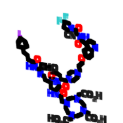 COC(=O)C[C@H](NC(=O)[C@H](CCCC/N=C(\C)NC(=O)CCCc1ccc(I)cc1)NC(=O)CN1CCN(CC(=O)O)CCN(CC(=O)O)CCN(CC(=O)O)CC1)C(=O)N1CCN(CCCOc2ccc3nccc(C(=O)NCC(=O)N4CC(F)(F)C[C@@H]4C#N)c3c2)CC1